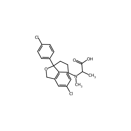 CC(C(=O)O)N(C)CCCC1(c2ccc(Cl)cc2)OCc2cc(Cl)ccc21